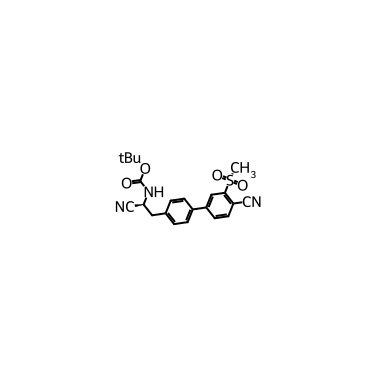 CC(C)(C)OC(=O)N[C@H](C#N)Cc1ccc(-c2ccc(C#N)c(S(C)(=O)=O)c2)cc1